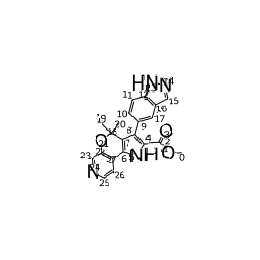 COC(=O)c1[nH]c2c(c1-c1ccc3[nH]ncc3c1)C(C)(C)Oc1cnccc1-2